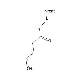 C=CCCC(=O)OOCCCCC